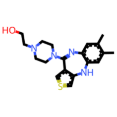 Cc1cc2c(cc1C)Nc1cscc1C(N1CCN(CCO)CC1)=N2